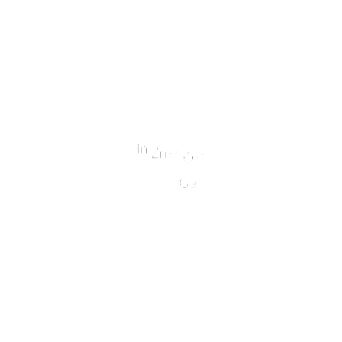 [Ga].[In].[O-2].[Zn+2]